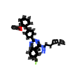 CCOC(=O)CCNc1nc(-c2ccc(-c3ccccc3OCC)cc2)nc2ccc(F)cc12